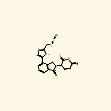 [N-]=[N+]=NCc1ncc(-c2cccc3c2CN(C2CCC(=O)NC2=O)C3=O)o1